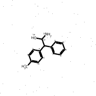 Cc1ccc(C(c2ccccc2)C(N)O)cc1